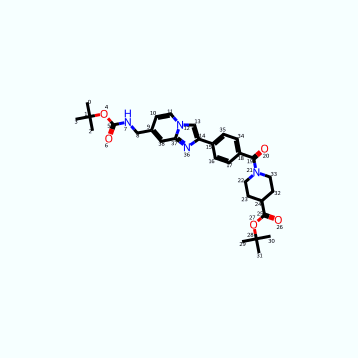 CC(C)(C)OC(=O)NCc1ccn2cc(-c3ccc(C(=O)N4CCC(C(=O)OC(C)(C)C)CC4)cc3)nc2c1